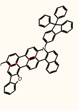 CC(C)(C)c1ccc(-c2ccc(N(c3ccc4c(c3)-c3ccccc3C4(c3ccccc3)c3ccccc3)c3ccc4ccccc4c3-c3ccc(-c4cccc5c4oc4ccccc45)cc3)cc2)cc1